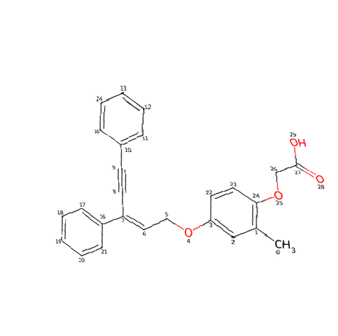 Cc1cc(OCC=C(C#Cc2ccccc2)c2ccccc2)ccc1OCC(=O)O